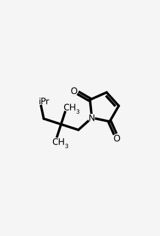 CC(C)CC(C)(C)CN1C(=O)C=CC1=O